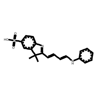 CC1(C)C(C=CC=CNc2ccccc2)=Nc2ccc(S(=O)(=O)O)cc21